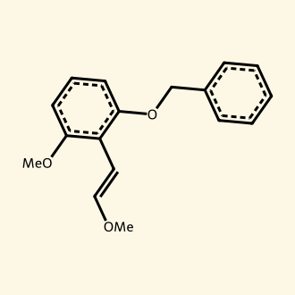 CO/C=C/c1c(OC)cccc1OCc1ccccc1